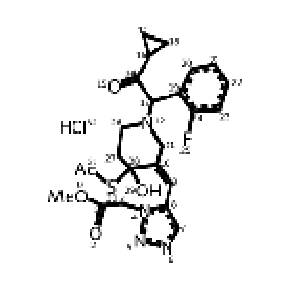 COC(=O)Cn1nncc1/C=C1/CN(C(C(=O)C2CC2)c2ccccc2F)CCC1(O)SC(C)=O.Cl